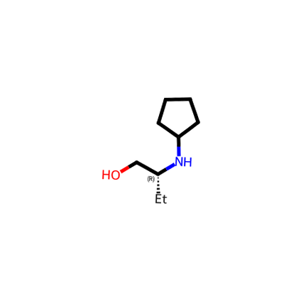 CC[C@H](CO)NC1CCCC1